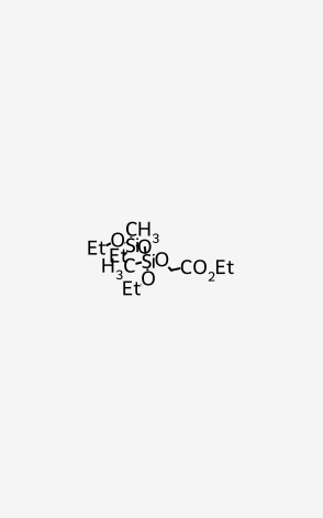 CCOC(=O)CO[Si](C)(OCC)O[Si](C)(CC)OCC